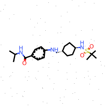 CC(C)NC(=O)c1ccc(NC[C@H]2CC[C@H](NS(=O)(=O)C(C)(C)C)CC2)cc1